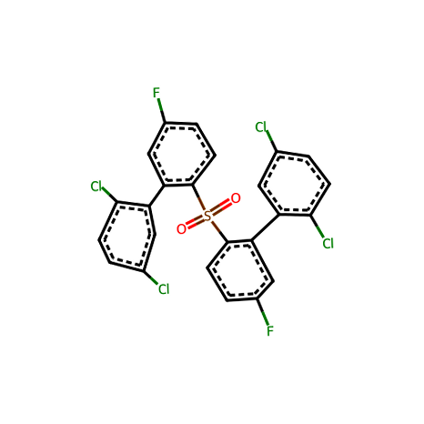 O=S(=O)(c1ccc(F)cc1-c1cc(Cl)ccc1Cl)c1ccc(F)cc1-c1cc(Cl)ccc1Cl